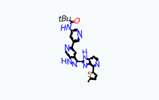 Cc1ccc(-c2nccc3[nH]c(-c4n[nH]c5cnc(-c6cncc(NC(=O)C(C)(C)C)c6)cc45)nc23)s1